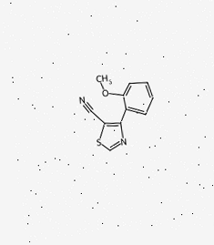 COc1ccccc1-c1ncsc1C#N